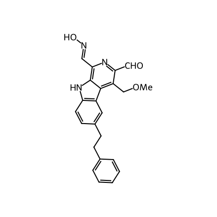 COCc1c(C=O)nc(C=NO)c2[nH]c3ccc(CCc4ccccc4)cc3c12